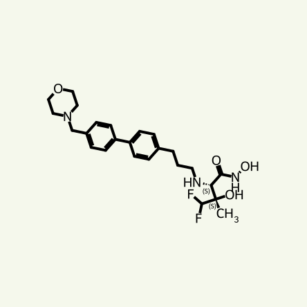 C[C@@](O)(C(F)F)[C@H](NCCCc1ccc(-c2ccc(CN3CCOCC3)cc2)cc1)C(=O)NO